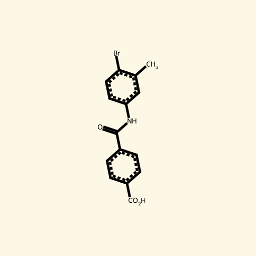 Cc1cc(NC(=O)c2ccc(C(=O)O)cc2)ccc1Br